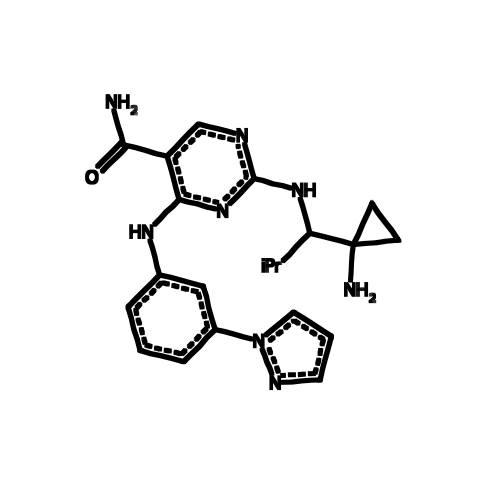 CC(C)C(Nc1ncc(C(N)=O)c(Nc2cccc(-n3cccn3)c2)n1)C1(N)CC1